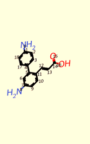 Nc1ccc(-c2cc(N)ccc2C=CC(=O)O)cc1